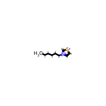 CCCCCC[n+]1ccsc1